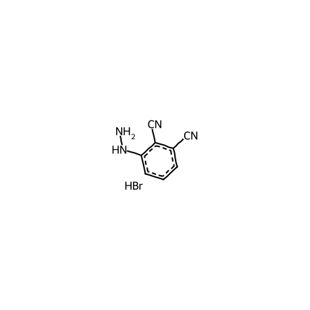 Br.N#Cc1cccc(NN)c1C#N